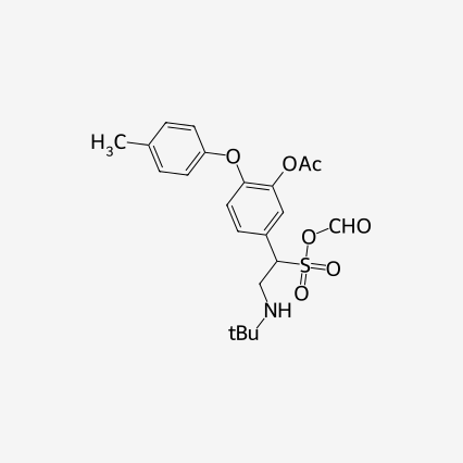 CC(=O)Oc1cc(C(CNC(C)(C)C)S(=O)(=O)OC=O)ccc1Oc1ccc(C)cc1